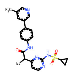 CCC(C(=O)Nc1ccc(-c2cncc(C(F)(F)F)c2)cc1)c1ccnc(NS(=O)(=O)C2CC2)n1